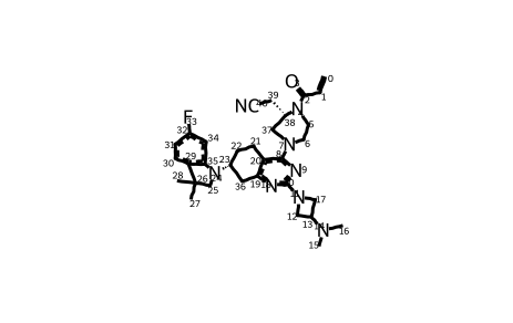 C=CC(=O)N1CCN(c2nc(N3CC(N(C)C)C3)nc3c2CC[C@@H](N2CC(C)(C)c4ccc(F)cc42)C3)C[C@@H]1CC#N